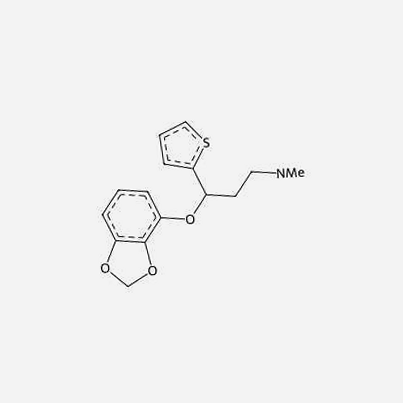 CNCCC(Oc1cccc2c1OCO2)c1cccs1